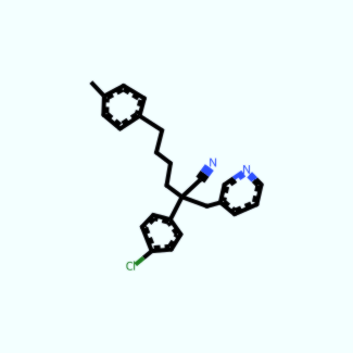 Cc1ccc(CCCCC(C#N)(Cc2cccnc2)c2ccc(Cl)cc2)cc1